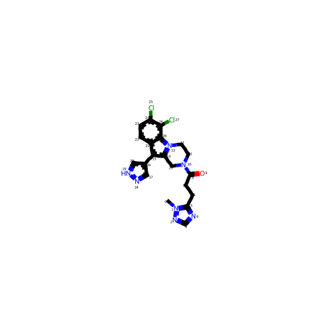 Cn1ncnc1CCC(=O)N1CCn2c(c(-c3cn[nH]c3)c3ccc(Cl)c(Cl)c32)C1